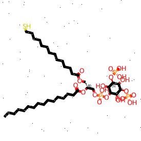 CCCCCCCCCCCCCCCC(=O)O[C@H](COC(=O)CCCCCCCCCCCCCS)COP(=O)(O)OC1C(O)[C@@H](OP(=O)(O)O)C(O)[C@@H](OP(=O)(O)O)[C@H]1O